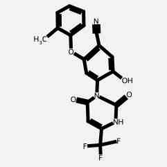 Cc1ccccc1Oc1cc(-n2c(=O)cc(C(F)(F)F)[nH]c2=O)c(O)cc1C#N